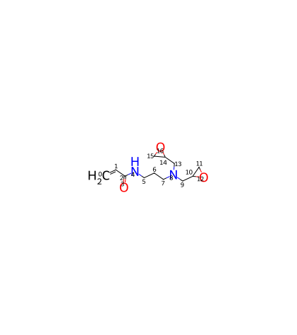 C=CC(=O)NCCCN(CC1CO1)CC1CO1